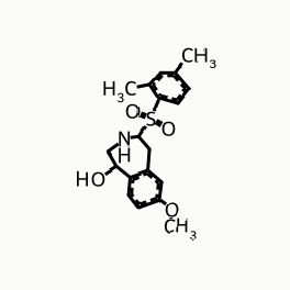 COc1ccc2c(c1)CC(S(=O)(=O)c1ccc(C)cc1C)NCC2O